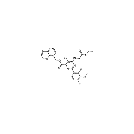 CCOC(=O)CNc1nc(-c2ccc(Cl)c(OC)c2F)nc(C(=O)OCc2cccc3nccnc23)c1Cl